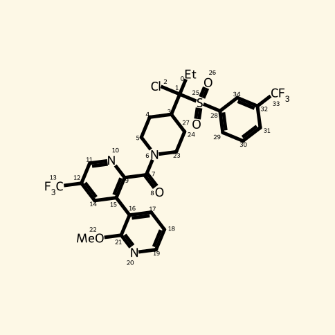 CCC(Cl)(C1CCN(C(=O)c2ncc(C(F)(F)F)cc2-c2cccnc2OC)CC1)S(=O)(=O)c1cccc(C(F)(F)F)c1